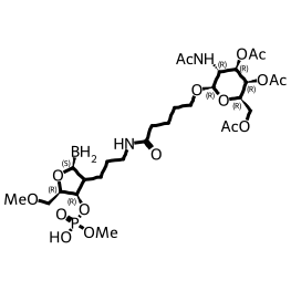 B[C@@H]1O[C@H](COC)[C@H](OP(=O)(O)OC)C1CCCNC(=O)CCCCO[C@@H]1O[C@H](COC(C)=O)[C@H](OC(C)=O)[C@H](OC(C)=O)[C@H]1NC(C)=O